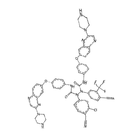 N#Cc1ccc(N(C(=O)Nc2ccc(Oc3ccc4ncc(N5CCNCC5)nc4c3)cc2)N(C(=O)Nc2ccc(Oc3ccc4ncc(N5CCNCC5)nc4c3)cc2)c2ccc(C#N)c(C(F)(F)F)c2)cc1Cl